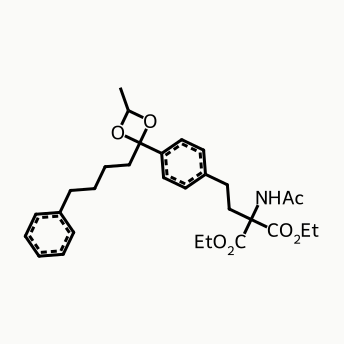 CCOC(=O)C(CCc1ccc(C2(CCCCc3ccccc3)OC(C)O2)cc1)(NC(C)=O)C(=O)OCC